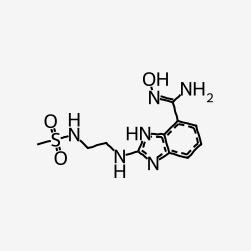 CS(=O)(=O)NCCNc1nc2cccc(C(N)=NO)c2[nH]1